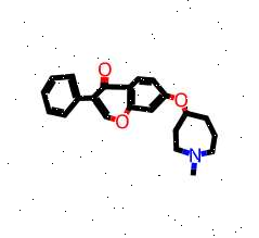 CN1CCCC(Oc2ccc3c(=O)c(-c4ccccc4)coc3c2)CC1